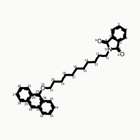 O=C1c2ccccc2C(=O)N1CCCCCCCCCCCOc1c2ccccc2cc2ccccc12